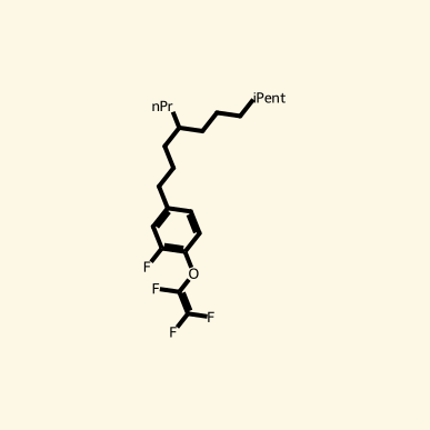 CCCC(C)CCCC(CCC)CCCc1ccc(OC(F)=C(F)F)c(F)c1